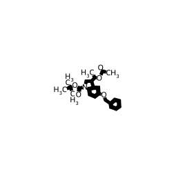 CC(=O)OC(C)C1CN(C(=O)OC(C)(C)C)c2ccc(OCc3ccccc3)cc21